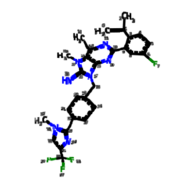 C=C(C)c1ccc(F)cc1-c1nc(C)c2c(n1)n(Cc1ccc(-c3nc(C(F)(F)F)cn3C)cc1)c(=N)n2C